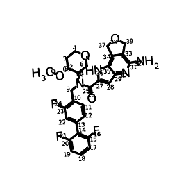 CO[C@@H]1CCOC[C@H]1N(Cc1ccc(-c2c(F)cccc2F)cc1F)C(=O)c1cc2nc(N)c3c(c2[nH]1)COC3